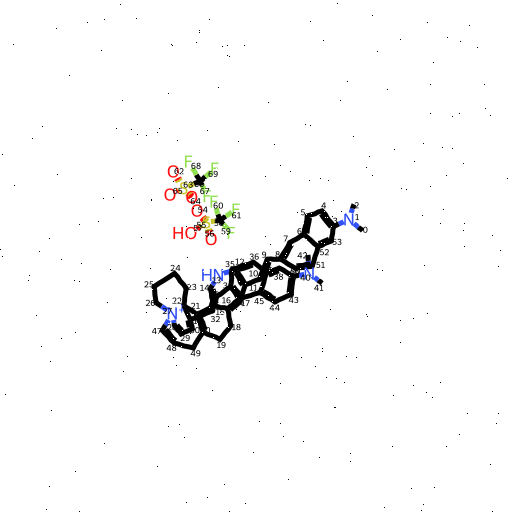 CN(C)c1ccc2cc(/C=C/C3=CNC=C4C(=C3)CCC3=C4C45CCCC[N+]4(C=CC=C5/C=C/c4ccc5cc(N(C)C)ccc5c4)C=CC3)ccc2c1.O=S(=O)(O)C(F)(F)F.O=S(=O)([O-])C(F)(F)F